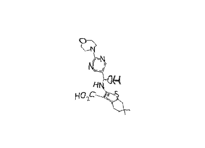 CC1(C)CCc2c(sc(NC(O)c3cnc(N4CCOCC4)nc3)c2C(=O)O)C1